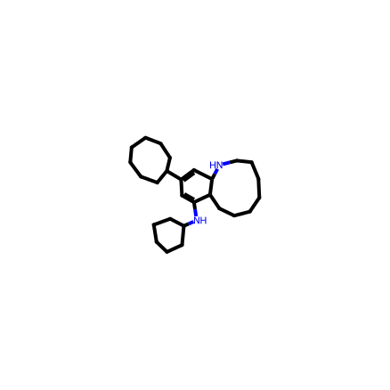 C1=C(C2CCCCCCC2)C=C(NC2CCCCC2)C2CCCCCCCNC12